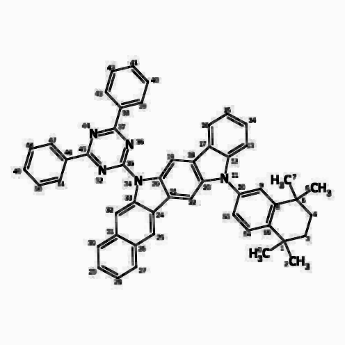 CC1(C)CCC(C)(C)c2cc(-n3c4ccccc4c4cc5c(cc43)c3cc4ccccc4cc3n5-c3nc(-c4ccccc4)nc(-c4ccccc4)n3)ccc21